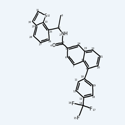 CC(NC(=O)c1ccc2c(-c3ccc(C(F)(F)F)cc3)cccc2c1)c1cccc2ccsc12